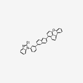 CCc1nc2ccccc2n1-c1cccc(-c2ccc3cc(-c4ccc5c6c(cccc46)-c4ccccc4O5)ccc3c2)c1